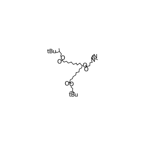 Cc1nccn1CCCC(=O)OC(CCCCCCCCC(=O)OCCC(C)CC(C)(C)C)CCCCCCCCC(=O)OCCC(C)CC(C)(C)C